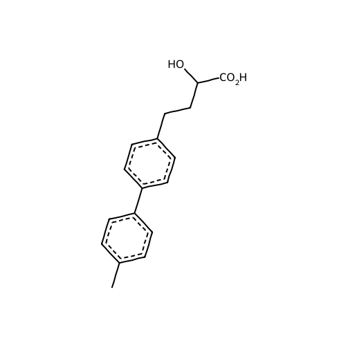 Cc1ccc(-c2ccc(CCC(O)C(=O)O)cc2)cc1